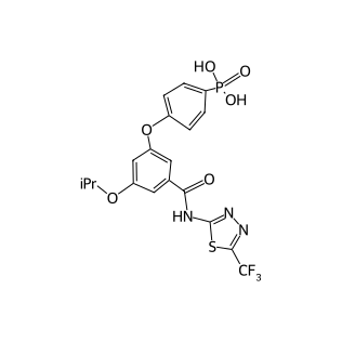 CC(C)Oc1cc(Oc2ccc(P(=O)(O)O)cc2)cc(C(=O)Nc2nnc(C(F)(F)F)s2)c1